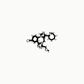 COCc1nnc2n1Cc1c(C3=NCCCCC3)ncn1-c1ccc(Cl)cc1-2